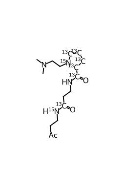 C[13C](=O)CC[15NH][13C](=O)CCN[13C](=O)[13CH]1[13CH2][13CH2][13CH2][15N]1CCN(C)C